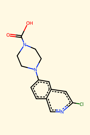 O=C(O)N1CCN(c2ccc3cnc(Cl)cc3c2)CC1